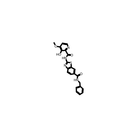 COc1ccnc(C(=O)Nc2nc3ccc(C(=O)NCc4ccccc4)cc3s2)c1O